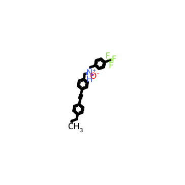 CCCc1ccc(C#Cc2ccc(C[NH+]([O-])Cc3ccc(C(F)(F)F)cc3)cc2)cc1